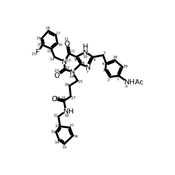 CC(=O)Nc1ccc(Cc2nc3c([nH]2)c(=O)n(Cc2ccccc2F)c(=O)n3CCCC(=O)NCc2ccccc2)cc1